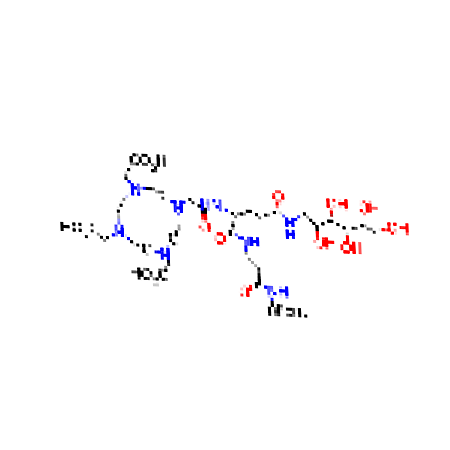 CCCCCNC(=O)CCNC(=O)[C@H](CCC(=O)NC[C@H](O)[C@@H](O)[C@H](O)[C@H](O)CO)NC(=O)CN1CCN(CC(=O)O)CCN(CC(=O)O)CCN(CC(=O)O)CC1